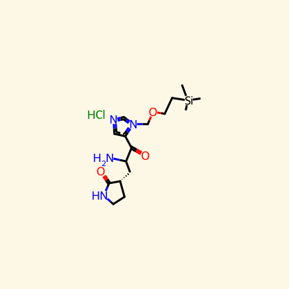 C[Si](C)(C)CCOCn1cncc1C(=O)C(N)C[C@@H]1CCNC1=O.Cl